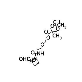 CC1(C)OCC(C)(C(=O)OCCOCCNC(=O)[C@H]2C3C=CC(O3)[C@H]2C=O)CO1